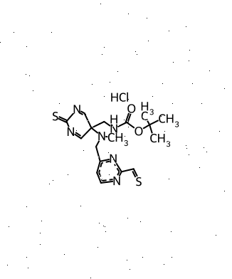 CN(Cc1ccnc(C=S)n1)C1(CNC(=O)OC(C)(C)C)C=NC(=S)N=C1.Cl